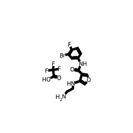 NCCNc1cocc1C(=O)Nc1ccc(F)c(Br)c1.O=C(O)C(F)(F)F